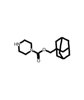 O=C(OCC12CC3CC(CC(C3)C1)C2)N1CCNCC1